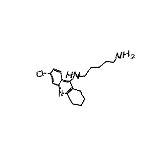 NCCCCCNc1c2c(nc3cc(Cl)ccc13)CCCC2